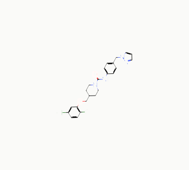 O=C(Nc1ccc(Cn2cccn2)cc1)N1CCC(COc2cc(Cl)ccc2Cl)CC1